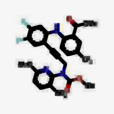 COC(=O)c1cc(C(F)(F)F)ccc1Nc1cc(F)c(F)cc1C#CCN(C(=O)OC(C)(C)C)c1nc(OC)ccc1[N+](=O)[O-]